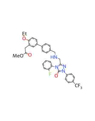 CCOc1ccc(-c2ccc(CNCc3nn(-c4ccc(C(F)(F)F)cc4)c(=O)n3-c3ccccc3F)cc2)cc1CC(=O)OC